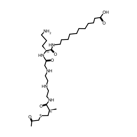 CC(=O)CSC[C@H](C)C(=O)NCCNCCNCC(=O)N[C@@H](CCCN)C(=O)NCCCCCCCCCCC(=O)O